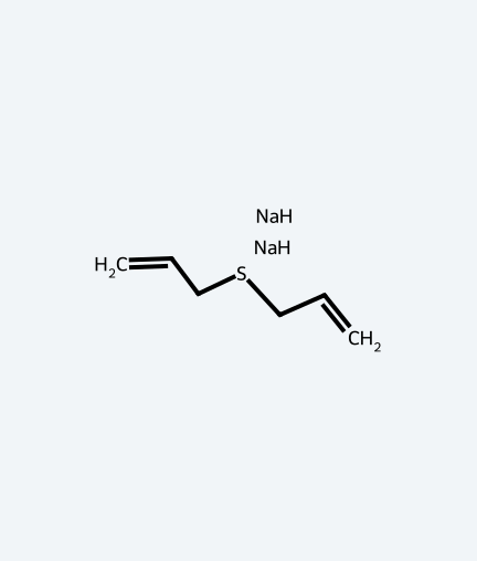 C=CCSCC=C.[NaH].[NaH]